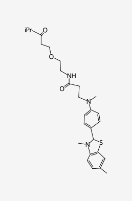 Cc1ccc2c(c1)SC(c1ccc(N(C)CCC(=O)NCCOCCC(=O)C(C)C)cc1)N2C